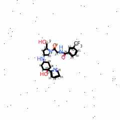 C[C@@H](O)C1CC(NC2CCC(O)(c3ccccn3)CC2)CN1C(=O)CNC(=O)c1cccc(C(F)(F)F)c1